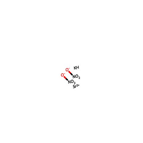 O=[N+]([O-])[O-].O=[N+]([O-])[O-].[KH].[Sr+2]